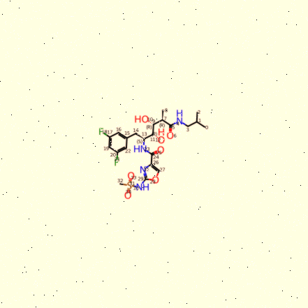 CC(C)CNC(=O)[C@H](C)[C@@H](O)[C@H](O)[C@H](Cc1cc(F)cc(F)c1)NC(=O)c1coc(NS(C)(=O)=O)n1